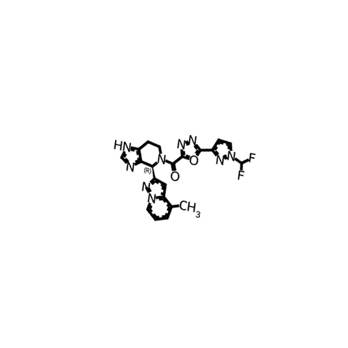 Cc1cccn2nc([C@H]3c4nc[nH]c4CCN3C(=O)c3nnc(-c4ccn(C(F)F)n4)o3)cc12